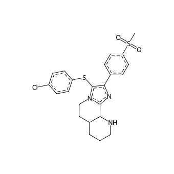 CS(=O)(=O)c1ccc(-c2nc3n(c2Sc2ccc(Cl)cc2)CCC2CCCNC32)cc1